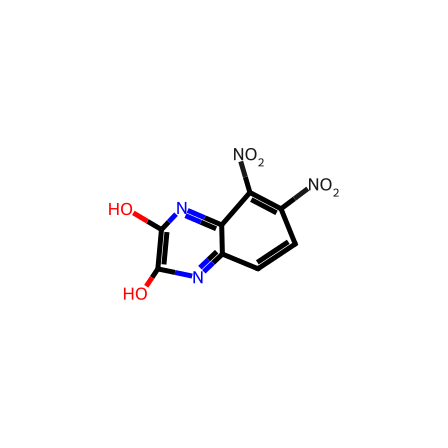 O=[N+]([O-])c1ccc2nc(O)c(O)nc2c1[N+](=O)[O-]